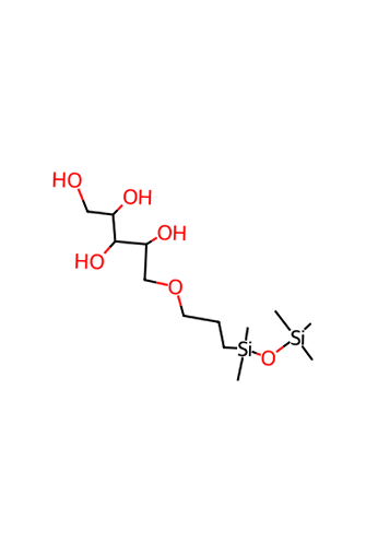 C[Si](C)(C)O[Si](C)(C)CCCOCC(O)C(O)C(O)CO